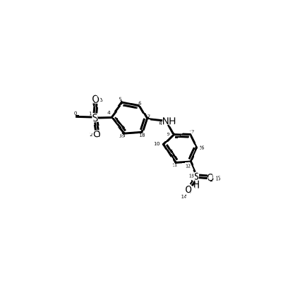 CS(=O)(=O)c1ccc(Nc2ccc([SH](=O)=O)cc2)cc1